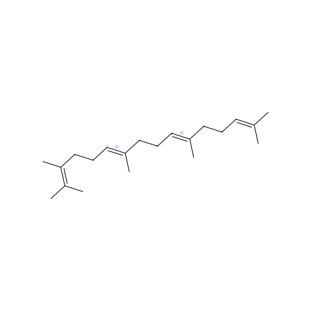 CC(C)=CCC/C(C)=C/CC/C(C)=[C]/CCC(C)=C(C)C